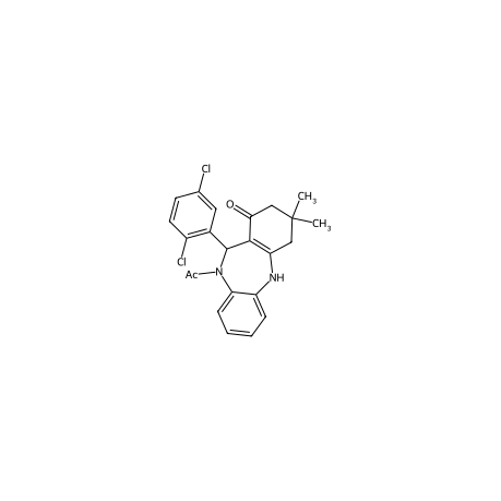 CC(=O)N1c2ccccc2NC2=C(C(=O)CC(C)(C)C2)C1c1cc(Cl)ccc1Cl